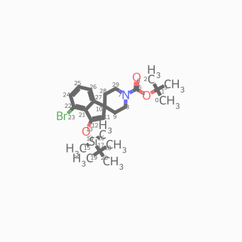 CC(C)(C)OC(=O)N1CCC2(C=C(O[Si](C)(C)C(C)(C)C)c3c(Br)cccc32)CC1